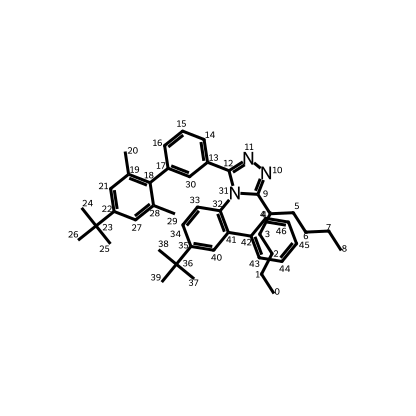 CCCCC(CCCC)c1nnc(-c2cccc(-c3c(C)cc(C(C)(C)C)cc3C)c2)n1-c1ccc(C(C)(C)C)cc1-c1ccccc1